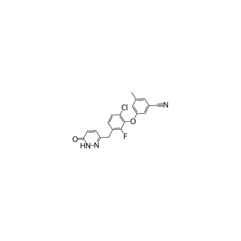 Cc1cc(C#N)cc(Oc2c(Cl)ccc(Cc3ccc(=O)[nH]n3)c2F)c1